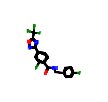 O=C(NCc1ccc(F)cc1)c1ccc(-c2noc(C(F)(F)F)n2)cc1F